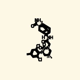 Cc1cc(Cl)c(N2C[C@@H](C)CN(CC(=O)N[C@H]3C4CC5CC3C[C@](C(N)=O)(C5)C4)S2(=O)=O)c(Cl)c1